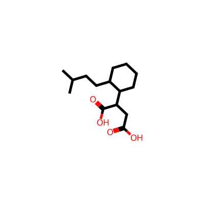 CC(C)CCC1CCCCC1C(CC(=O)O)C(=O)O